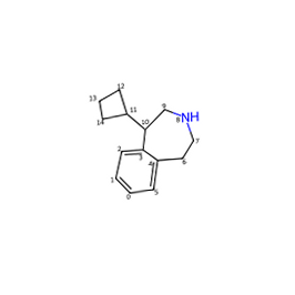 c1ccc2c(c1)CCNCC2C1CCC1